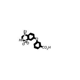 CCN1CNS(=O)(=O)c2cc(Oc3cccc(C(=O)O)c3)ccc21